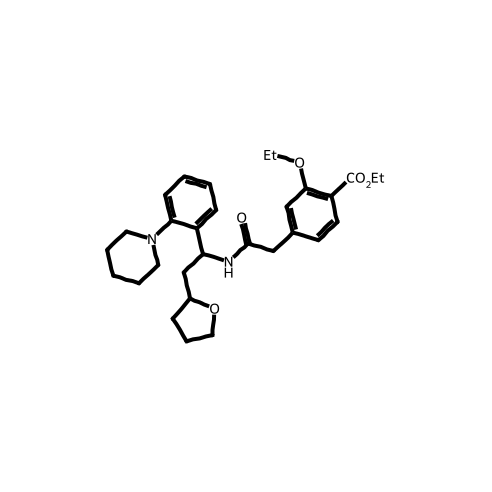 CCOC(=O)c1ccc(CC(=O)NC(CC2CCCO2)c2ccccc2N2CCCCC2)cc1OCC